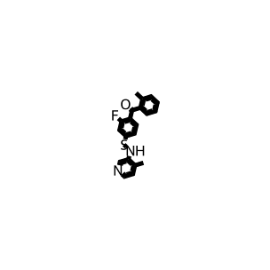 Cc1ccncc1NSc1ccc(C(=O)c2ccccc2C)c(F)c1